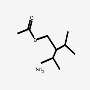 CC(=O)OCC(C(C)C)C(C)C.N